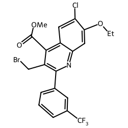 CCOc1cc2nc(-c3cccc(C(F)(F)F)c3)c(CBr)c(C(=O)OC)c2cc1Cl